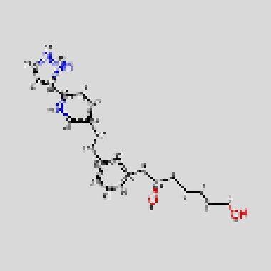 O=C(CCCCCO)Cc1cccc(CCc2ccc(-c3ccn[nH]3)nc2)c1